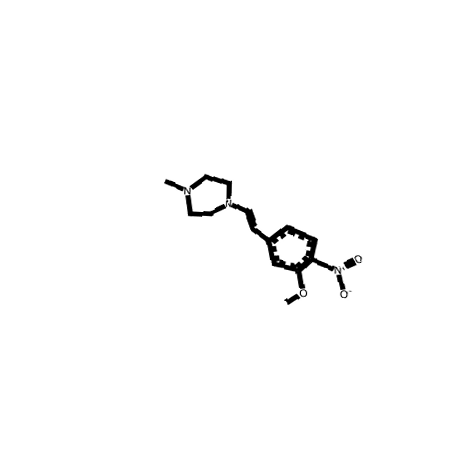 COc1cc(/C=C/N2CCN(C)CC2)ccc1[N+](=O)[O-]